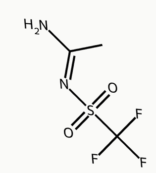 C/C(N)=N\S(=O)(=O)C(F)(F)F